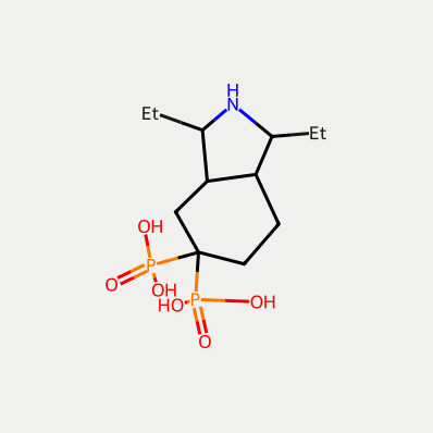 CCC1NC(CC)C2CC(P(=O)(O)O)(P(=O)(O)O)CCC12